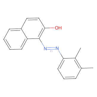 Cc1cccc(/N=N/c2c(O)ccc3ccccc23)c1C